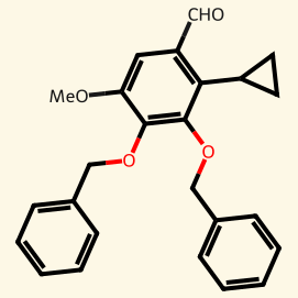 COc1cc(C=O)c(C2CC2)c(OCc2ccccc2)c1OCc1ccccc1